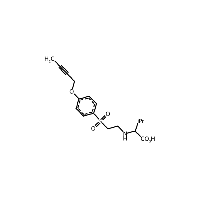 CC#CCOc1ccc(S(=O)(=O)CCNC(C(=O)O)C(C)C)cc1